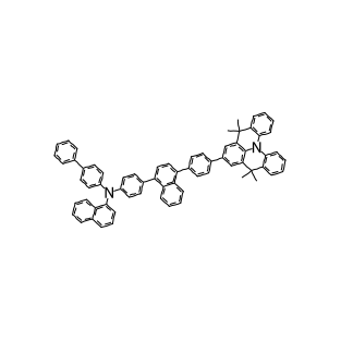 CC1(C)c2ccccc2N2c3ccccc3C(C)(C)c3cc(-c4ccc(-c5ccc(-c6ccc(N(c7ccc(-c8ccccc8)cc7)c7cccc8ccccc78)cc6)c6ccccc56)cc4)cc1c32